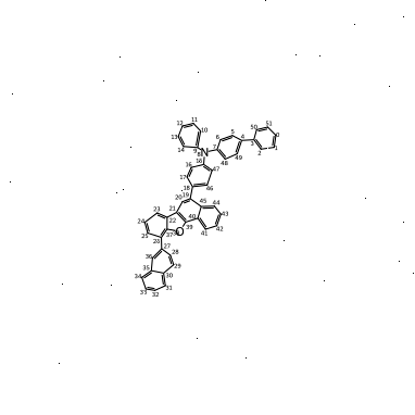 c1ccc(-c2ccc(N(c3ccccc3)c3ccc(-c4cc5c6cccc(-c7ccc8ccccc8c7)c6oc5c5ccccc45)cc3)cc2)cc1